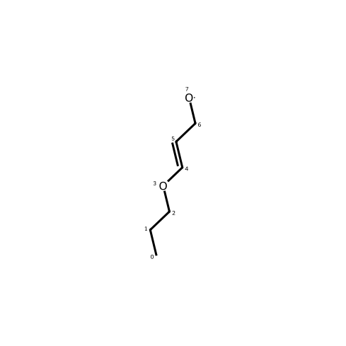 CCCOC=CC[O]